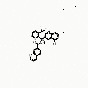 O=C(N[C@@H](c1cnc2cccc(Cl)c2c1)c1ncccc1C(F)(F)F)c1ccc2cccnc2c1